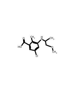 COCC(C)Nc1cc(Cl)cc(C(=O)O)c1C